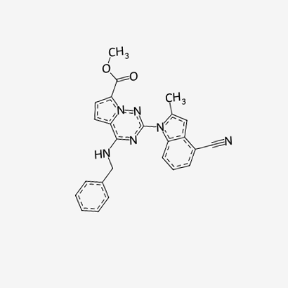 COC(=O)c1ccc2c(NCc3ccccc3)nc(-n3c(C)cc4c(C#N)cccc43)nn12